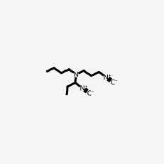 [C-]#[N+]CCCN(CCCC)C(CC)[N+]#[C-]